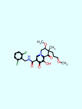 COCCCC1(C)C(=O)c2c(O)c(=O)c(C(=O)NCc3c(F)cccc3F)cn2CC1OC